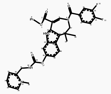 CC(C)OC(=O)C1=CN(C(=O)c2ccc(F)c(F)c2)CC(C)(C)c2c1[nH]c1cc(OC(=O)NCc3cccc[n+]3C)ccc21